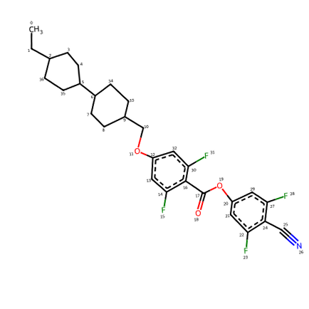 CCC1CCC(C2CCC(COc3cc(F)c(C(=O)Oc4cc(F)c(C#N)c(F)c4)c(F)c3)CC2)CC1